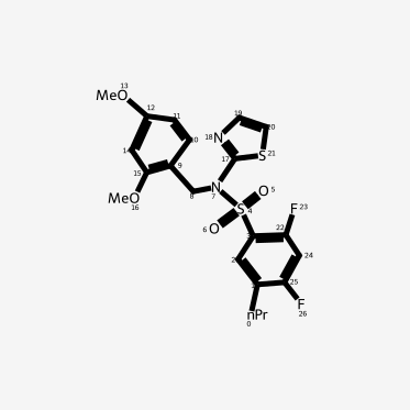 CCCc1cc(S(=O)(=O)N(Cc2ccc(OC)cc2OC)c2nccs2)c(F)cc1F